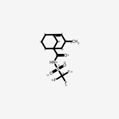 CC1C=C2CCCC(C(=O)NS(=O)(=O)C(F)(F)F)(C2)C1